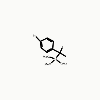 CCc1ccc(C(C)(I)[Si](OC)(OC)OC)cc1